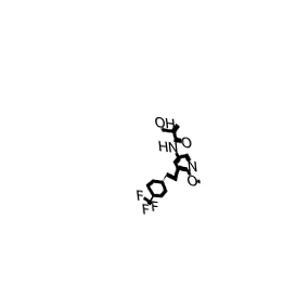 C=C(CO)C(=O)Nc1cnc(OC)c(/C=C/[C@H]2CC[C@H](C(F)(F)F)CC2)c1